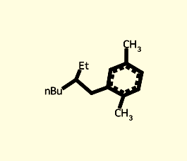 CCCCC(CC)Cc1cc(C)ccc1C